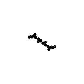 CC1(C)c2ccccc2-c2ccc(-n3c4ccccc4c4cc(-c5ccc6c(c5)C5(CCCC5)c5cc(-c7ccc8c(c7)C7(CCCC7)c7cc(-c9ccc%10c(c9)c9ccccc9n%10-c9ccc%10c(c9)C(C)(C)c9ccccc9-%10)ccc7-8)ccc5-6)ccc43)cc21